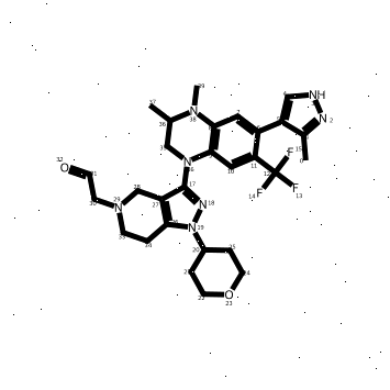 Cc1n[nH]cc1-c1cc2c(cc1C(F)(F)F)N(c1nn(C3CCOCC3)c3c1CN(CC=O)CC3)CC(C)N2C